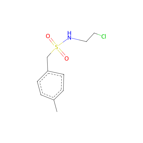 Cc1ccc(CS(=O)(=O)NCCCl)cc1